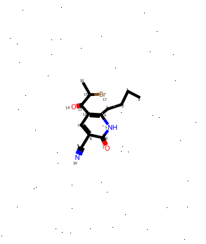 CCCCc1[nH]c(=O)c(C#N)cc1C(=O)C(C)Br